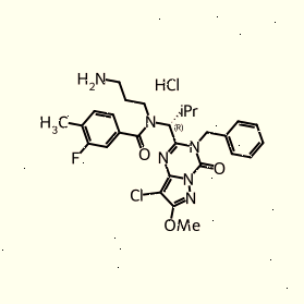 COc1nn2c(=O)n(Cc3ccccc3)c([C@@H](C(C)C)N(CCCN)C(=O)c3ccc(C)c(F)c3)nc2c1Cl.Cl